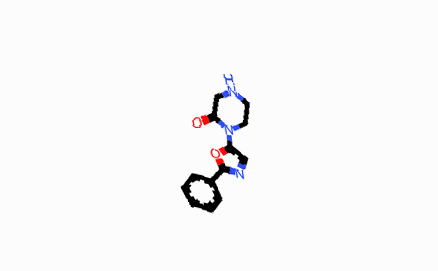 O=C1CNCCN1c1cnc(-c2ccccc2)o1